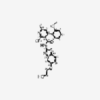 COc1cnccc1-c1cc(C)nc(Cl)c1C(=O)Nc1nc2cc(OCCO)ccc2s1